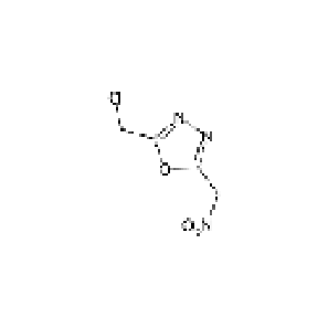 O=[N+]([O-])Cc1nnc(CCl)o1